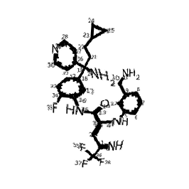 N=C(/C=C(\Nc1cccc(CN)c1)C(=O)Nc1cc(C(N)(CCC2CC2)c2ccncc2)ccc1F)C(F)(F)F